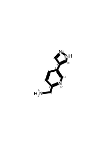 NCc1ccc(-c2cn[nH]c2)cn1